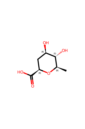 C[C@H]1O[C@@H](C(=O)O)C[C@@H](O)[C@@H]1O